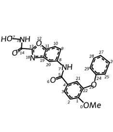 COc1ccc(C(=O)Nc2ccc3oc(C(=O)NO)nc3c2)cc1Oc1ccccc1